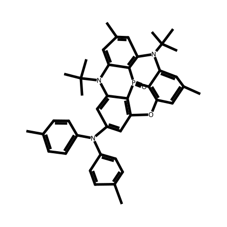 Cc1ccc(N(c2ccc(C)cc2)c2cc3c4c(c2)N(C(C)(C)C)c2cc(C)cc5c2P4(=O)c2c(cc(C)cc2N5C(C)(C)C)O3)cc1